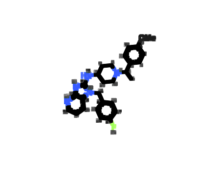 COc1ccc(C(C)N2CCC(Nc3nc4ncccc4n3Cc3ccc(F)cc3)CC2)cc1